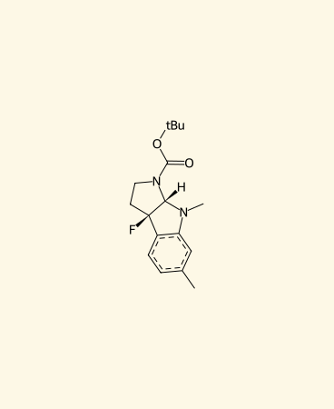 Cc1ccc2c(c1)N(C)[C@H]1N(C(=O)OC(C)(C)C)CC[C@@]21F